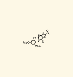 COc1ccc(Cn2c(C(C)C)nc3sc([S+](C)[O-])nc3c2=O)c(OC)c1